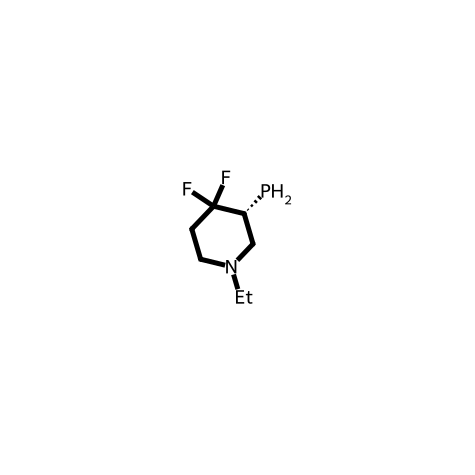 CCN1CCC(F)(F)[C@H](P)C1